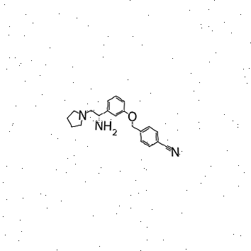 N#Cc1ccc(COc2cccc([C@H](N)CN3CCCC3)c2)cc1